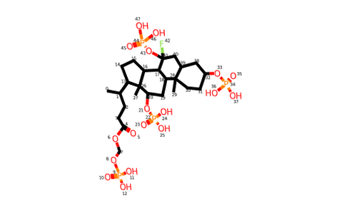 CC(CCC(=O)OCOP(=O)(O)O)C1CCC2C3C(CC(OP(=O)(O)O)C12C)C1(C)CCC(OP(=O)(O)O)CC1CC3(F)OP(=O)(O)O